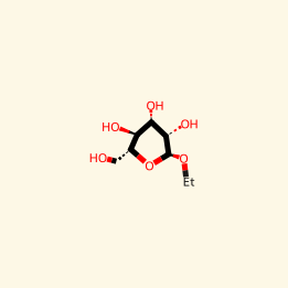 CCO[C@H]1O[C@H](CO)[C@@H](O)[C@H](O)[C@@H]1O